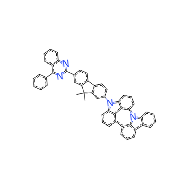 CC1(C)c2cc(-c3nc(-c4ccccc4)c4ccccc4n3)ccc2-c2ccc(-n3c4cccc5c6cccc7c8ccccc8n(c8cccc3c8c54)c67)cc21